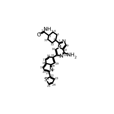 NC(=O)C1CCC(c2ncc3c(N)nc(-c4ccc5ccc(-c6cccs6)nc5c4)cn23)CC1